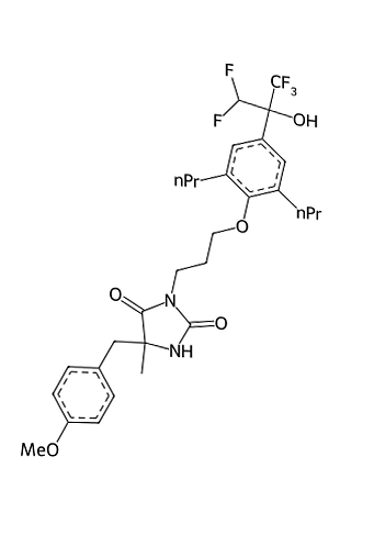 CCCc1cc(C(O)(C(F)F)C(F)(F)F)cc(CCC)c1OCCCN1C(=O)NC(C)(Cc2ccc(OC)cc2)C1=O